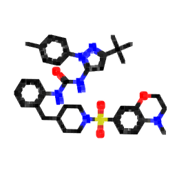 Cc1ccc(-n2nc(C(C)(C)C)cc2NC(=O)Nc2ccccc2CC2CCN(S(=O)(=O)c3ccc4c(c3)OCCN4C)CC2)cc1